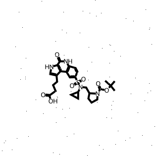 CC(C)(C)OC(=O)N1CCCC1CN(C1CC1)S(=O)(=O)c1ccc2[nH]c(=O)c3[nH]cc(CCCC(=O)O)c3c2c1